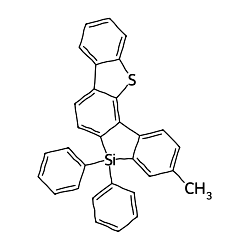 Cc1ccc2c(c1)[Si](c1ccccc1)(c1ccccc1)c1ccc3c(sc4ccccc43)c1-2